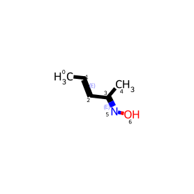 C/C=C/C(C)=N/O